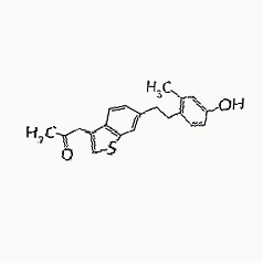 CC(=O)Cc1csc2cc(CCc3ccc(O)cc3C)ccc12